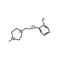 CN1CCN(CCOc2cc[c]cc2F)CC1